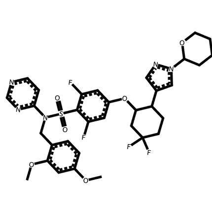 COc1ccc(CN(c2ccncn2)S(=O)(=O)c2c(F)cc(OC3CC(F)(F)CCC3c3cnn(C4CCCCO4)c3)cc2F)c(OC)c1